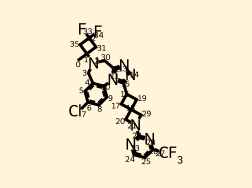 CC1(N2Cc3cc(Cl)ccc3-n3c(nnc3C3CC4(C3)CN(c3nccc(C(F)(F)F)n3)C4)C2)CC(F)(F)C1